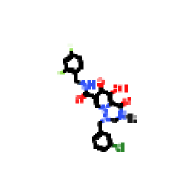 CCN1CN(Cc2cccc(Cl)c2)n2cc(C(=O)NCc3ccc(F)cc3F)c(=O)c(O)c2C1=O